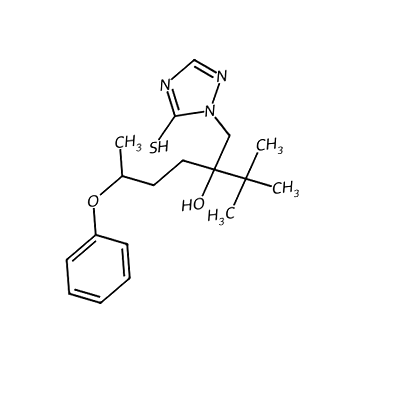 CC(CCC(O)(Cn1ncnc1S)C(C)(C)C)Oc1ccccc1